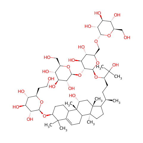 C[C@H](CC[C@@H](O[C@@H]1O[C@H](CO[C@H]2O[C@H](CO)[C@@H](O)[C@H](O)[C@H]2O)[C@@H](O)[C@H](O)[C@H]1O[C@@H]1O[C@H](CO)[C@@H](O)[C@H](O)[C@H]1O)C(C)(C)O)C1CC[C@@]2(C)C3CC=C4C(CC[C@H](O[C@@H]5O[C@H](CCO)[C@@H](O)[C@H](O)[C@H]5O)C4(C)C)[C@]3(C)[C@H](O)C[C@]12C